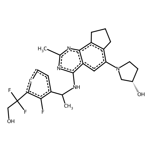 Cc1nc(NC(C)c2cccc(C(F)(F)CO)c2F)c2cc(N3CC[C@H](O)C3)c3c(c2n1)CCC3